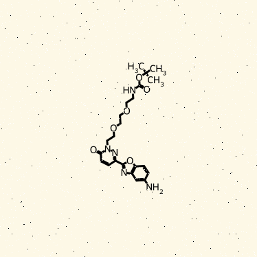 CC(C)(C)OC(=O)NCCOCCOCCn1nc(-c2nc3cc(N)ccc3o2)ccc1=O